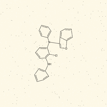 Clc1c(Nc2ccccc2)cccc1N(c1ccccc1)c1coc2ccccc12